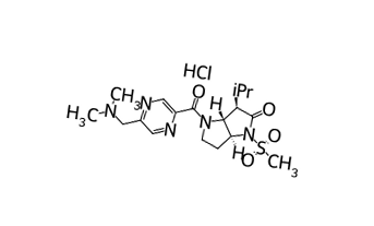 CC(C)[C@H]1C(=O)N(S(C)(=O)=O)[C@H]2CCN(C(=O)c3cnc(CN(C)C)cn3)[C@H]12.Cl